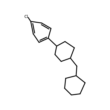 Clc1ccc(C2CCC(CC3CCCCC3)CC2)cc1